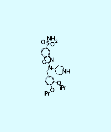 CC(C)Oc1ccc(CN(c2nc3cc(S(N)(=O)=O)ccc3o2)C2CCNCC2)cc1OC(C)C